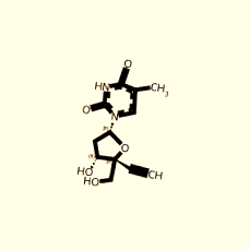 C#C[C@]1(CO)O[C@@H](n2cc(C)c(=O)[nH]c2=O)C[C@H]1O